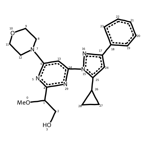 COC(CO)c1nc(N2CCOCC2)cc(-n2nc(-c3ccccc3)cc2C2CC2)n1